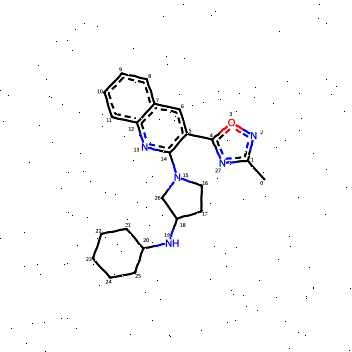 Cc1noc(-c2cc3ccccc3nc2N2CCC(NC3CCCCC3)C2)n1